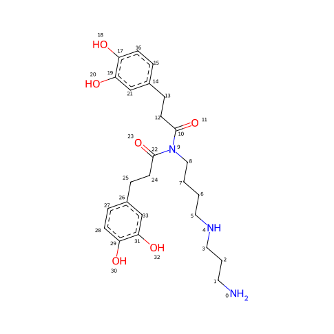 NCCCNCCCCN(C(=O)CCc1ccc(O)c(O)c1)C(=O)CCc1ccc(O)c(O)c1